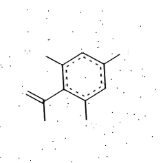 COc1cc(C(F)(F)F)cc(SC)c1C(=O)Cl